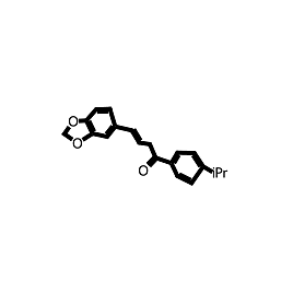 CC(C)c1ccc(C(=O)CC=Cc2ccc3c(c2)OCO3)cc1